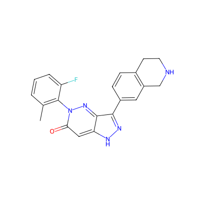 Cc1cccc(F)c1-n1nc2c(-c3ccc4c(c3)CNCC4)n[nH]c2cc1=O